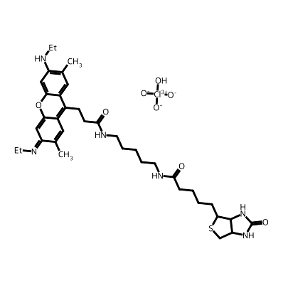 CCN=c1cc2oc3cc(NCC)c(C)cc3c(CCC(=O)NCCCCCNC(=O)CCCCC3SCC4NC(=O)NC43)c-2cc1C.[O-][Cl+3]([O-])([O-])O